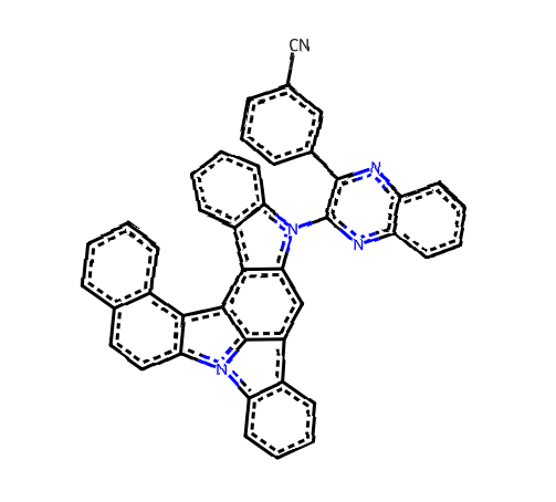 N#Cc1cccc(-c2nc3ccccc3nc2-n2c3ccccc3c3c4c5c6ccccc6ccc5n5c6ccccc6c(cc32)c45)c1